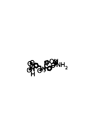 CN(C(=O)Cc1ccc2c(c1)NC(=O)CS2(=O)=O)C(CN1CC[C@H](O)C1)c1cccc(OCC(N)=O)c1